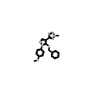 COc1ccc(-n2ncc(-c3nnn(C)n3)c2SCc2ccccc2)cc1